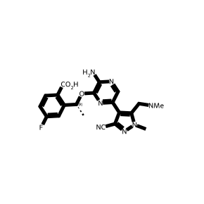 CNCc1c(-c2cnc(N)c(O[C@H](C)c3cc(F)ccc3C(=O)O)n2)c(C#N)nn1C